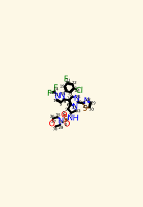 O=S(=O)(N[C@H]1CC2=C(c3ccn(C(F)F)n3)[C@H](c3ccc(F)cc3Cl)N=C(c3nccs3)N2C1)N1CCOCC1